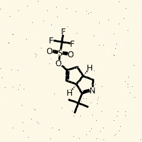 CC(C)(C)C1=NC[C@@H]2CC(OS(=O)(=O)C(F)(F)F)=C[C@H]12